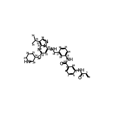 C=CC(=O)Nc1cccc(C(=O)Nc2cccc(CNc3cc(O[C@@H]4CCCNC4)nc4c(C(C)C)cnn34)c2)c1